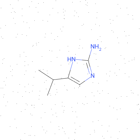 CC(C)c1[c]nc(N)[nH]1